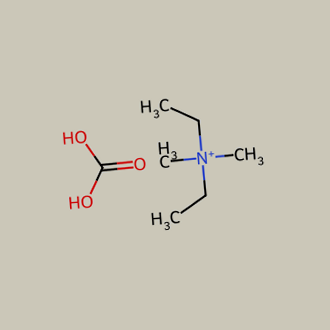 CC[N+](C)(C)CC.O=C(O)O